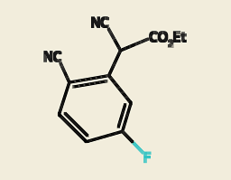 CCOC(=O)C(C#N)c1cc(F)ccc1C#N